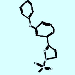 CS(=O)(=O)n1ccc(-c2cccc(Oc3ccccc3)c2)n1